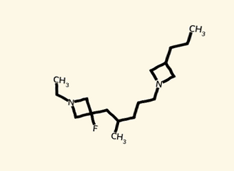 CCCC1CN(CCCC(C)CC2(F)CN(CC)C2)C1